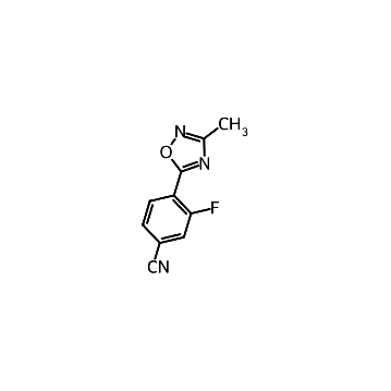 Cc1noc(-c2ccc(C#N)cc2F)n1